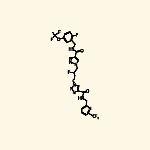 CC(F)(F)Oc1ccc(F)c(CNC(=O)c2cn(CC(F)CCn3cc(C(=O)NCc4cccc(C(F)(F)F)n4)nn3)nn2)c1